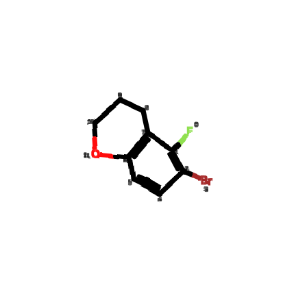 Fc1c(Br)ccc2c1CCCO2